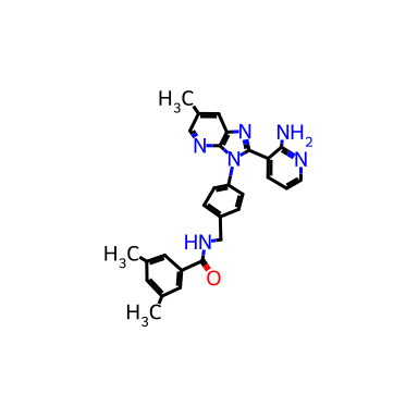 Cc1cc(C)cc(C(=O)NCc2ccc(-n3c(-c4cccnc4N)nc4cc(C)cnc43)cc2)c1